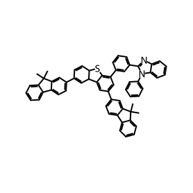 CC1(C)c2ccccc2-c2ccc(C3=CC4c5cc(-c6ccc7c(c6)C(C)(C)c6ccccc6-7)cc(-c6cccc(-c7nc8ccccc8n7-c7ccccc7)c6)c5SC4C=C3)cc21